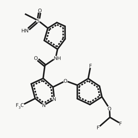 CS(=N)(=O)c1cccc(NC(=O)c2cc(C(F)(F)F)nnc2Oc2ccc(OC(F)F)cc2F)c1